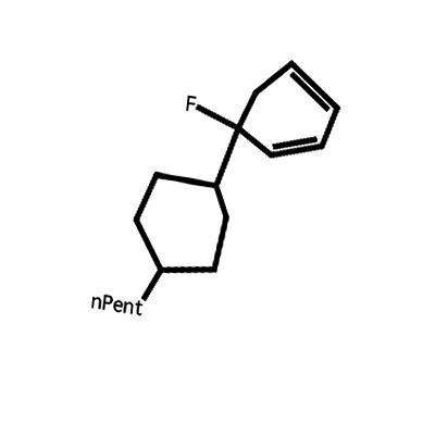 CCCCCC1CCC(C2(F)C=CC=CC2)CC1